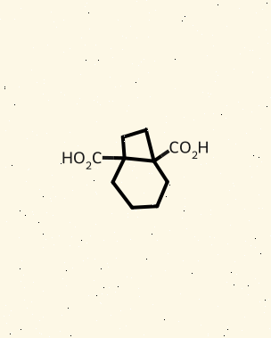 O=C(O)C12CCCCC1(C(=O)O)CC2